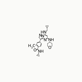 Cc1cc(-c2cnn3c(NCC4CC4)cc(NC4CCOCC4)nc23)ccc1C(=O)NC1CC1